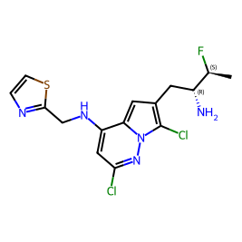 C[C@H](F)[C@H](N)Cc1cc2c(NCc3nccs3)cc(Cl)nn2c1Cl